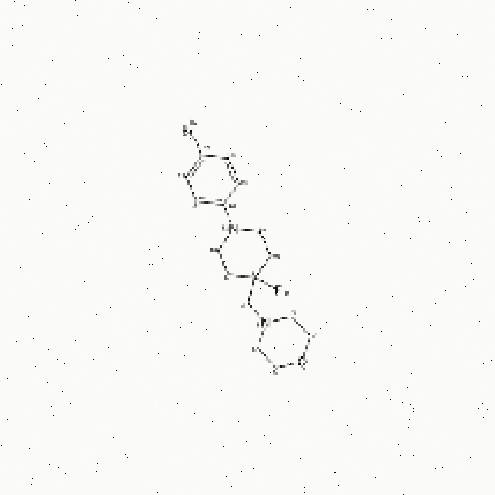 FC1(CN2CCOCC2)CCN(c2ccc(Br)cc2)CC1